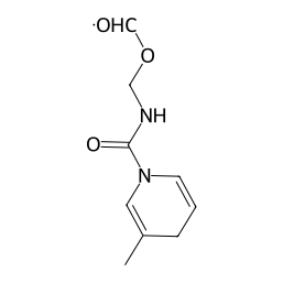 CC1=CN(C(=O)NCO[C]=O)C=CC1